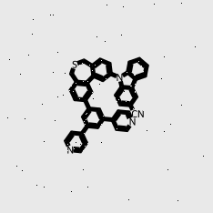 N#Cc1ccc2c(c1)c1ccccc1n2-c1ccc2c(c1)-c1cc(-c3cc(-c4ccncc4)cc(-c4ccncc4)c3)ccc1CSC2